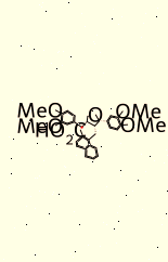 COc1ccc(C[C@H]2CO[C@H](c3ccc(OC)c(OC)c3)[C@@H]2Cc2c(C(=O)O)ccc3ccccc23)cc1OC